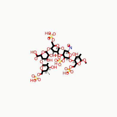 CO[C@H]1OC(COS(=O)(=O)O)[C@@H](O[C@@H]2O[C@@H](N=O)[C@@H](O[C@H]3OC(COS(=O)(=O)O)[C@@H](O[C@@H]4OC(C(=O)O)[C@@H](O[C@H]5OC(COS(=O)(=O)O)[C@@H](C)[C@H](O)C5C)[C@H](O)C4O)[C@H](C)C3C)C(O)C2OS(=O)(=O)O)[C@H](O)C1C